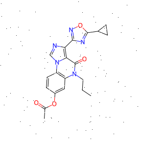 CCCn1c(=O)c2c(-c3noc(C4CC4)n3)ncn2c2ccc(OC(C)=O)cc21